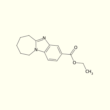 CCOC(=O)c1ccc2c(c1)nc1n2CCCCC1